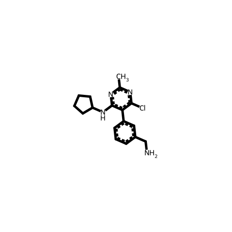 Cc1nc(Cl)c(-c2cccc(CN)c2)c(NC2CCCC2)n1